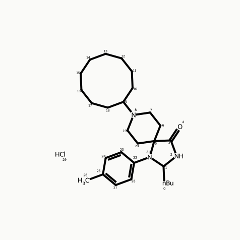 CCCCC1NC(=O)C2(CCN(C3CCCCCCCCC3)CC2)N1c1ccc(C)cc1.Cl